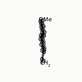 C=CC(=O)OCCCCCCOC(=O)Oc1ccc(C(=O)Oc2ccc(C(=O)O[C@H]3COC4C3OC[C@@H]4OC(=O)c3ccc(OC(=O)c4ccc(OC(=O)OC)cc4)cc3)cc2)cc1